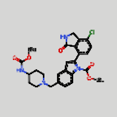 CC(C)(C)OC(=O)NC1CCN(Cc2ccc3c(c2)cc(-c2ccc(Cl)c4c2C(=O)NC4)n3C(=O)OC(C)(C)C)CC1